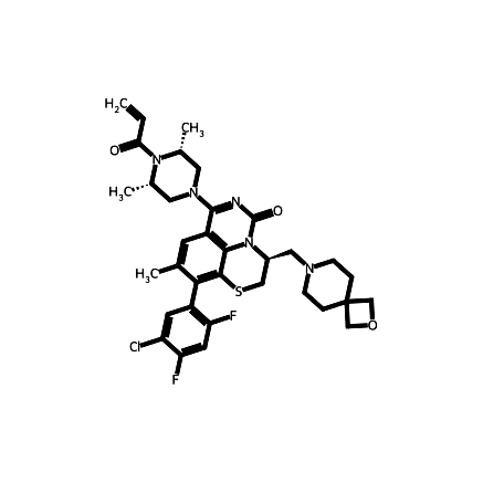 C=CC(=O)N1[C@H](C)CN(c2nc(=O)n3c4c(c(-c5cc(Cl)c(F)cc5F)c(C)cc24)SC[C@@H]3CN2CCC3(CC2)COC3)C[C@@H]1C